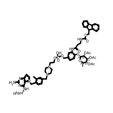 CCCCCNc1nc(N)nc2ccn(Cc3ccc(CN4CCN(CCOP(=O)(O)OCc5ccc(O[C@@H]6O[C@H](C)[C@@H](OC(C)=O)[C@H](OC(C)=O)[C@H]6OC(C)=O)c(NC(=O)CCNC(=O)OCC6c7ccccc7-c7ccccc76)c5)CC4)cc3C)c12